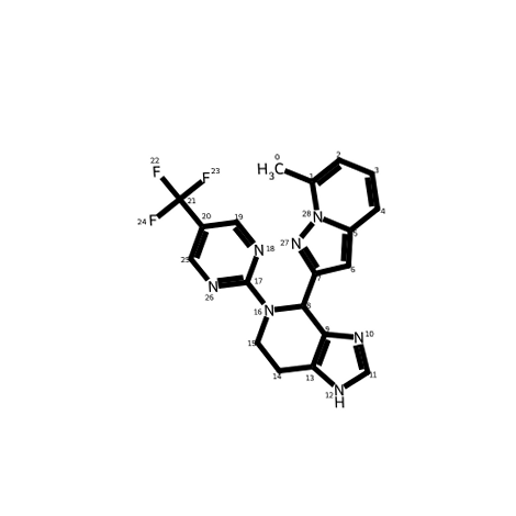 Cc1cccc2cc(C3c4nc[nH]c4CCN3c3ncc(C(F)(F)F)cn3)nn12